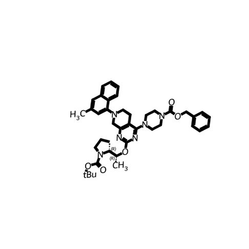 Cc1cc(N2CCc3c(nc(O[C@H](C)[C@H]4CCCN4C(=O)OC(C)(C)C)nc3N3CCN(C(=O)OCc4ccccc4)CC3)C2)c2ccccc2c1